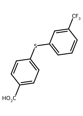 O=C(O)c1ccc(Sc2cccc(C(F)(F)F)c2)cc1